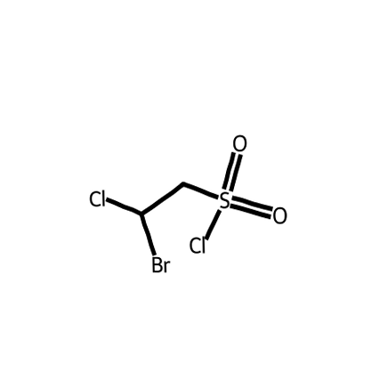 O=S(=O)(Cl)CC(Cl)Br